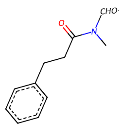 CN([C]=O)C(=O)CCc1ccccc1